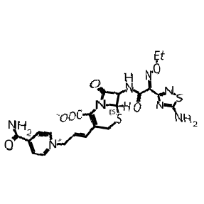 CCON=C(C(=O)NC1C(=O)N2C(C(=O)[O-])=C(C=CC[n+]3ccc(C(N)=O)cc3)CS[C@@H]12)c1nsc(N)n1